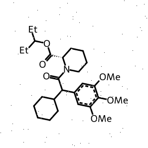 CCC(CC)OC(=O)[C@@H]1CCCCN1C(=O)C(c1cc(OC)c(OC)c(OC)c1)C1CCCCC1